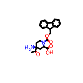 CC(=O)C1(N)CCN(C(=O)OCC2c3ccccc3-c3ccccc32)C(C(=O)O)C1